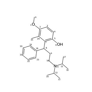 COc1ccc(O)c(C(CCN(C(C)C)C(C)C)c2ccccc2)c1C